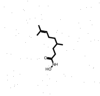 CC(C)=CCCC(C)CCC(=O)NO